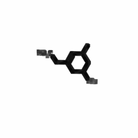 CCCCC1CC(CC(=O)O)=CC(C)C1